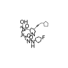 C[C@H](CO)N1C[C@H](C)[C@H](CN(C)C(=O)Nc2ccc(F)cc2)Oc2ncc(C#CCC3CCCC3)cc2C1=O